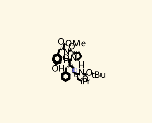 COC(=O)[C@H](Cc1ccc(O)cc1)NC(=O)[C@@H]1CCCN1C(=O)[C@H](/C=C/[C@H](CC(C)C)NC(=O)OC(C)(C)C)Cc1ccccc1